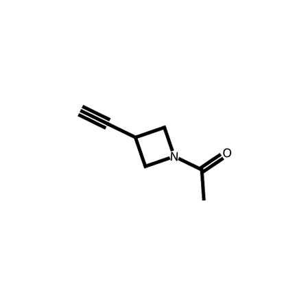 C#CC1CN(C(C)=O)C1